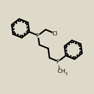 C[P@](CCCP(CCl)c1ccccc1)c1ccccc1